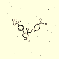 C=CC(c1ccc(S(C)(=O)=O)cc1)S(=O)(=O)CCC1(F)CCN(C(=O)O)CC1